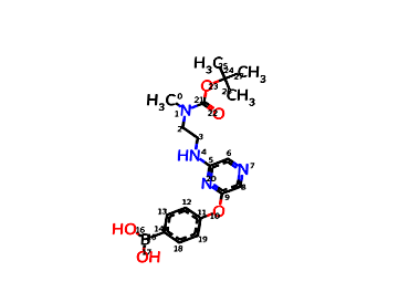 CN(CCNc1cncc(Oc2ccc(B(O)O)cc2)n1)C(=O)OC(C)(C)C